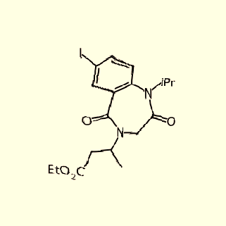 CCOC(=O)CC(C)N1CC(=O)N(C(C)C)c2ccc(I)cc2C1=O